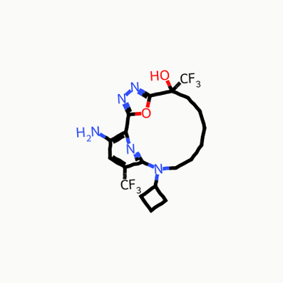 Nc1cc(C(F)(F)F)c2nc1-c1nnc(o1)C(O)(C(F)(F)F)CCCCCCN2C1CCC1